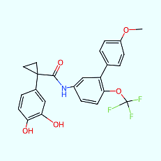 COc1ccc(-c2cc(NC(=O)C3(c4ccc(O)c(O)c4)CC3)ccc2OC(F)(F)F)cc1